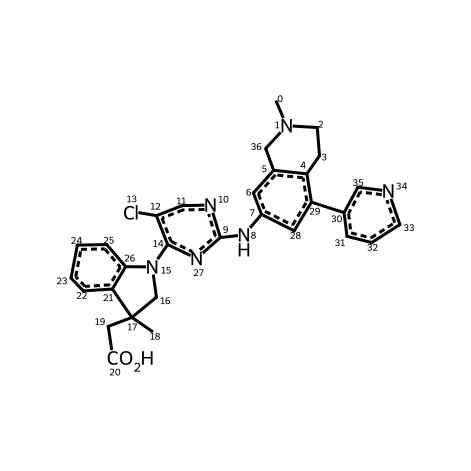 CN1CCc2c(cc(Nc3ncc(Cl)c(N4CC(C)(CC(=O)O)c5ccccc54)n3)cc2-c2cccnc2)C1